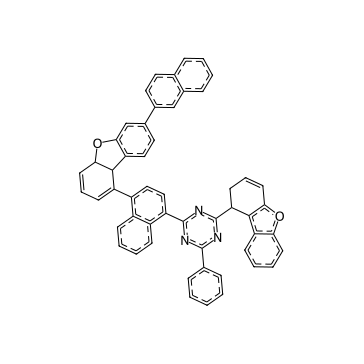 C1=CC2Oc3cc(-c4ccc5ccccc5c4)ccc3C2C(c2ccc(-c3nc(-c4ccccc4)nc(C4CC=Cc5oc6ccccc6c54)n3)c3ccccc23)=C1